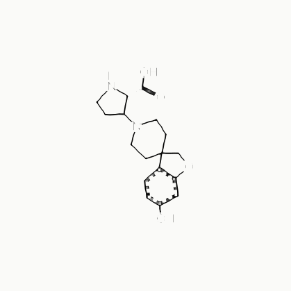 O=C(O)[C@H]1NCCC1N1CCC2(CC1)COc1cc(O)ccc12